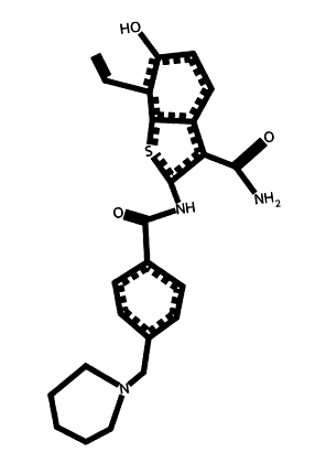 C=Cc1c(O)ccc2c(C(N)=O)c(NC(=O)c3ccc(CN4CCCCC4)cc3)sc12